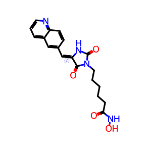 O=C(CCCCCN1C(=O)N/C(=C\c2ccc3ncccc3c2)C1=O)NO